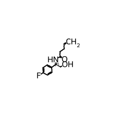 C=CCCC(=O)N[C@@H](CO)c1ccc(F)cc1